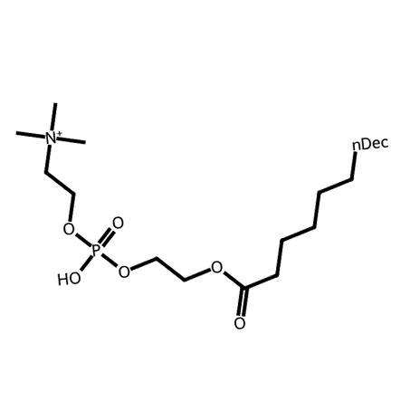 CCCCCCCCCCCCCCCC(=O)OCCOP(=O)(O)OCC[N+](C)(C)C